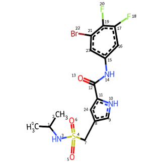 CC(C)NS(=O)(=O)Cc1c[nH]c(C(=O)Nc2cc(F)c(F)c(Br)c2)c1